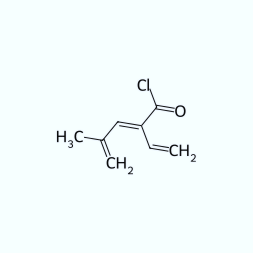 C=C/C(=C\C(=C)C)C(=O)Cl